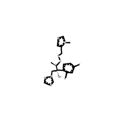 C[C@@H](SSCc1cncn1C)[C@](O)(Cn1cncn1)c1ccc(F)cc1F